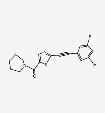 O=C(c1cnc(C#Cc2cc(F)cc(F)c2)s1)N1CCCCC1